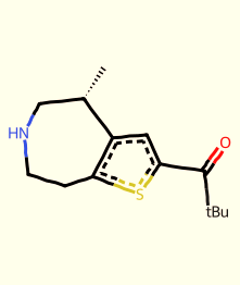 C[C@H]1CNCCc2sc(C(=O)C(C)(C)C)cc21